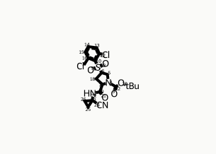 CC(C)(C)OC(=O)N1CC(S(=O)(=O)c2c(Cl)cccc2Cl)CC1C(=O)NC1(C#N)CC1